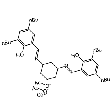 CC(=O)[O-].CC(=O)[O-].CCCCc1cc(C=NC2CCCC(N=Cc3cc(CCCC)cc(CCCC)c3O)C2)c(O)c(CCCC)c1.[Co+2]